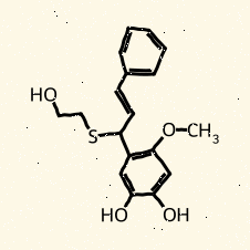 COc1cc(O)c(O)cc1C(C=Cc1ccccc1)SCCO